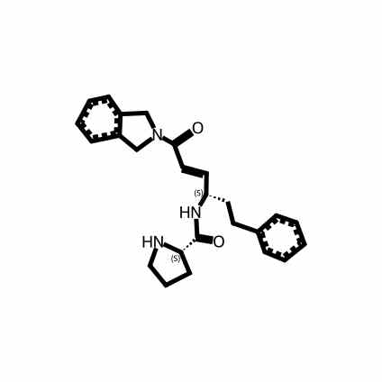 O=C(N[C@H](C=CC(=O)N1Cc2ccccc2C1)CCc1ccccc1)[C@@H]1CCCN1